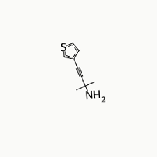 CC(C)(N)C#Cc1ccsc1